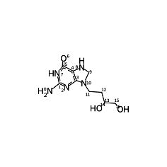 Nc1nc2c(c(=O)[nH]1)NCN2CCC(O)CO